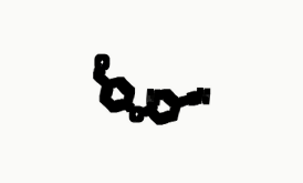 N#Cc1ccc(Oc2ccc(C=O)cc2)nc1